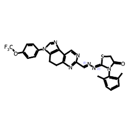 Cc1cccc(C)c1N1C(=O)CS/C1=N\N=C\c1ncc2c(n1)CCc1c-2ncn1-c1ccc(OC(F)(F)F)cc1